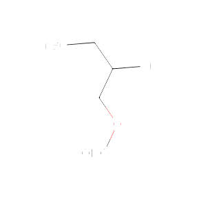 CCCCCC(CC)CO[C]=O